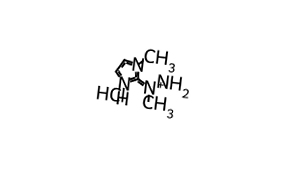 Cl.Cn1cc[nH]c1=[N+](C)N